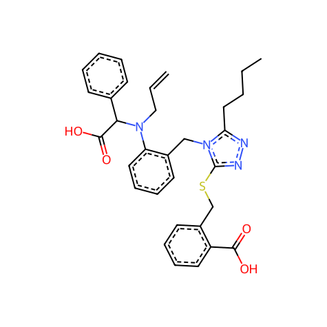 C=CCN(c1ccccc1Cn1c(CCCC)nnc1SCc1ccccc1C(=O)O)C(C(=O)O)c1ccccc1